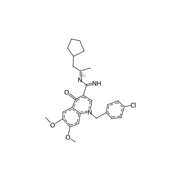 COc1cc2c(=O)c(C(=N)/N=C(\C)CC3CCCC3)cn(Cc3ccc(Cl)cc3)c2cc1OC